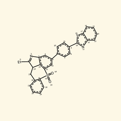 CCC1=Nc2cc(-c3ccc(-c4nc5ccccc5s4)cc3)cc3c2C1Cc1ccccc1S3(=O)=O